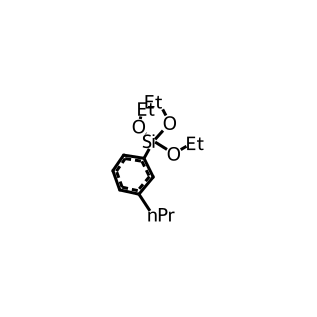 CCCc1cccc([Si](OCC)(OCC)OCC)c1